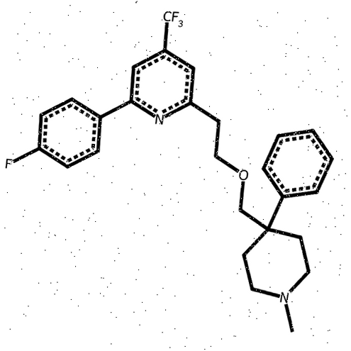 CN1CCC(COCCc2cc(C(F)(F)F)cc(-c3ccc(F)cc3)n2)(c2ccccc2)CC1